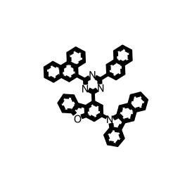 c1ccc2cc(-c3nc(-c4cc5ccccc5c5ccccc45)nc(-c4cc(-n5c6ccccc6c6cc7ccccc7cc65)cc5oc6ccccc6c45)n3)ccc2c1